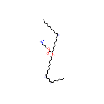 CCCCC/C=C\C/C=C\CCCCCCCCOC(CCCCCC/C=C\CCCCCCCC)C(=O)OCCCN(C)C